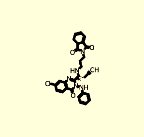 C#CC[C@@H](NCCCN1C(=O)C2=CC=CCC2C1=O)c1nc2cc(Cl)ccc2c(=O)n1Nc1ccccc1